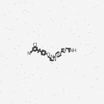 CC(C)(c1ccc(OCc2ccnc(N3CCN(C4CN(CC5CNC5)C4)CC3)n2)cc1)c1cc(Cl)cc(C#N)c1